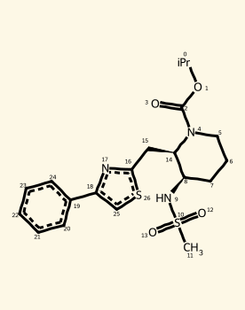 CC(C)OC(=O)N1CCC[C@@H](NS(C)(=O)=O)[C@H]1Cc1nc(-c2ccccc2)cs1